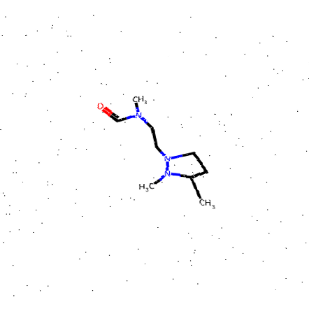 CC1CCN(CCN(C)C=O)N1C